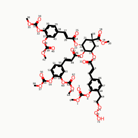 COC(=O)Oc1cc(/C=C/C(=O)O[C@@H]2C[C@@](C)(C(=O)OC)C[C@@H](OC(=O)/C=C/c3ccc(OC(=O)OC)c(OC(=O)OC)c3)[C@@H]2OC(=O)/C=C/c2ccc(OC(=O)OC)c(OC(=O)OC)c2)ccc1CCOOO